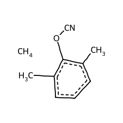 C.Cc1cccc(C)c1OC#N